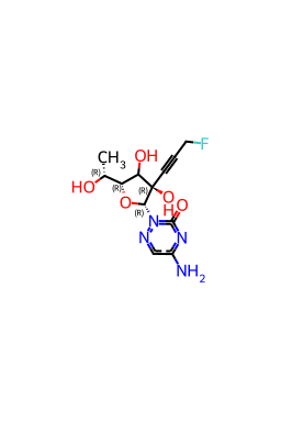 C[C@@H](O)[C@H]1O[C@@H](n2ncc(N)nc2=O)[C@@](O)(C#CCF)C1O